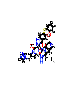 C[C@@H](NC(=O)[C@@H]1C[C@@H](Cn2ccnn2)CN1C(=O)CNC(=O)c1ccc2c(c1)Oc1ccccc1S2)c1cc2cnccc2[nH]1